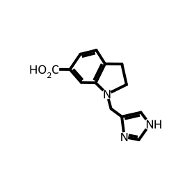 O=C(O)c1ccc2c(c1)N(Cc1c[nH]cn1)CC2